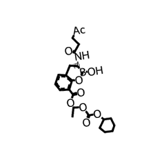 CC(=O)CCC(=O)N[C@H]1Cc2cccc(C(=O)OC(C)OC(=O)OC3CCCCC3)c2OB1O